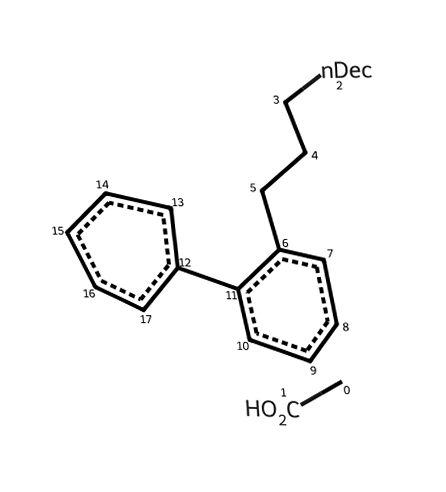 CC(=O)O.CCCCCCCCCCCCCc1ccccc1-c1ccccc1